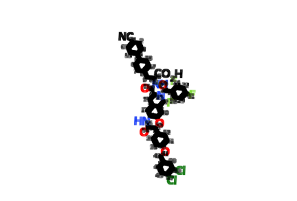 N#Cc1ccc(-c2ccc(C[C@H](NC(=O)[C@@H]3Cc4cc5c(cc4CN3C(=O)c3c(F)cc(F)cc3F)OC(c3ccc(OCc4ccc(Cl)c(Cl)c4)cc3)C(=O)N5)C(=O)O)cc2)cc1